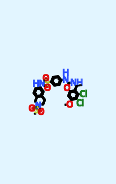 COc1ccc([C@H](C)NC(=O)Nc2ccc(S(=O)(=O)Nc3ccc4c(c3)CCN(S(C)(=O)=O)C4)cc2)c(Cl)c1Cl